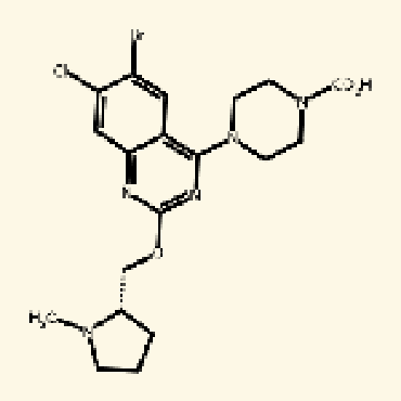 CN1CCC[C@H]1COc1nc(N2CCN(C(=O)O)CC2)c2cc(Br)c(Cl)cc2n1